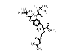 COC(=O)[C@@](N)(CCOC(=O)CC(C)C)Cc1ccc(OC(=O)OC(C)(C)C)c(OC(=O)OC(C)(C)C)c1